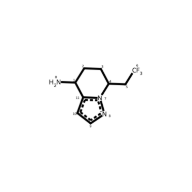 NC1CCC(CC(F)(F)F)n2nccc21